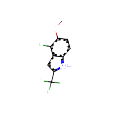 COc1ccc2[nH]c(C(F)(F)F)cc2c1F